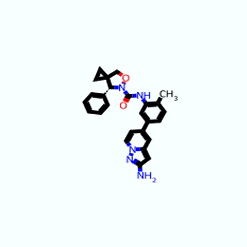 Cc1ccc(-c2ccn3nc(N)cc3c2)cc1NC(=O)N1OCC2(CC2)[C@H]1c1ccccc1